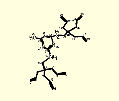 C=CCC(CC=C)(CC=C)CNc1nc(O)nc(NCC(CC=C)(CC=C)CC=C)n1